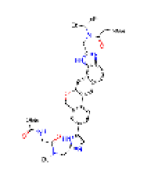 CCC[C@@H](CC)N(Cc1nc2ccc3cc4c(cc3c2[nH]1)OCc1cc(-c2cnc(CN(C(=O)CNC(=O)OC)[C@@H](C)CC)[nH]2)ccc1-4)C(=O)CNC